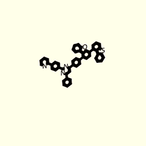 c1ccc(-c2cc(-c3ccc(-c4ccc(-c5cccc6sc7ccccc7c56)c5oc6ccccc6c45)cc3)nc(-c3ccc(-c4ccccn4)cc3)n2)cc1